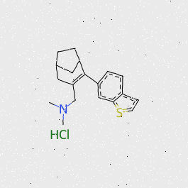 CN(C)CC1=C(c2ccc3ccsc3c2)C2CCC(C1)C2.Cl